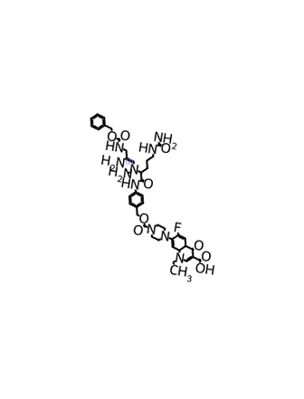 CCN1C=C(C(=O)O)C(=O)C2C=C(F)C(N3CCN(C(=O)OCc4ccc(NC(=O)C(CCCNC(N)=O)N(N)/C=C(\N)CNC(=O)OCc5ccccc5)cc4)CC3)=CC21